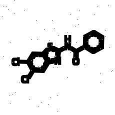 O=C(Nc1nc2cc(Cl)c(Cl)cc2s1)c1ccccc1